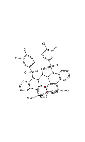 COc1cc(OC)c2c(c1)C(C(C(=O)O)C1c3cc(OC)cc(OC)c3-c3ccccc3N1S(=O)(=O)c1ccc(Cl)c(Cl)c1)N(S(=O)(=O)c1ccc(Cl)c(Cl)c1)c1ccccc1-2